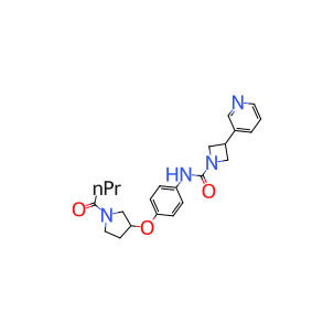 CCCC(=O)N1CCC(Oc2ccc(NC(=O)N3CC(c4cccnc4)C3)cc2)C1